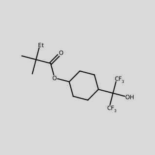 CCC(C)(C)C(=O)OC1CCC(C(O)(C(F)(F)F)C(F)(F)F)CC1